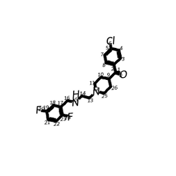 O=C(c1ccc(Cl)cc1)C1CCN(CCNCc2cc(F)ccc2F)CC1